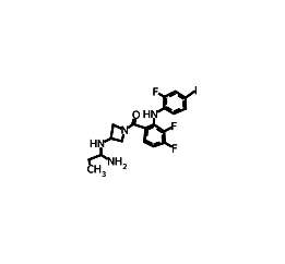 CCC(N)NC1CN(C(=O)c2ccc(F)c(F)c2Nc2ccc(I)cc2F)C1